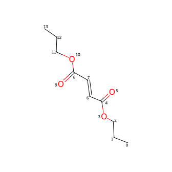 CCCOC(=O)C=CC(=O)OCCC